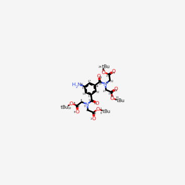 CC(C)(C)OC(=O)CN(CC(=O)OC(C)(C)C)C(=O)c1cc(N)cc(C(=O)N(CC(=O)OC(C)(C)C)CC(=O)OC(C)(C)C)c1